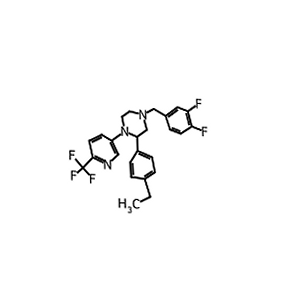 CCc1ccc(C2CN(Cc3ccc(F)c(F)c3)CCN2c2ccc(C(F)(F)F)nc2)cc1